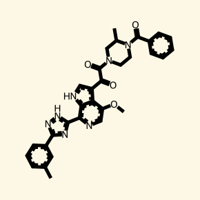 COc1cnc(-c2nc(-c3cccc(C)c3)n[nH]2)c2[nH]cc(C(=O)C(=O)N3CCN(C(=O)c4ccccc4)C(C)C3)c12